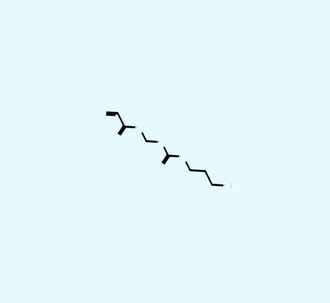 C=CC(=O)OCOC(=O)OCCCC